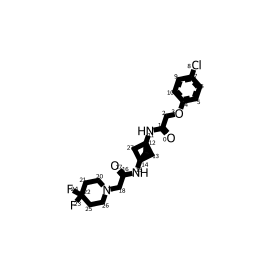 O=C(COc1ccc(Cl)cc1)NC12CC(NC(=O)CN3CCC(F)(F)CC3)(C1)C2